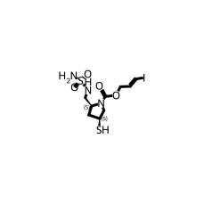 NS(=O)(=O)NC[C@@H]1C[C@H](S)CN1C(=O)OCC=CI